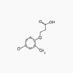 Cc1cc(Cl)ccc1OCCC(=O)O